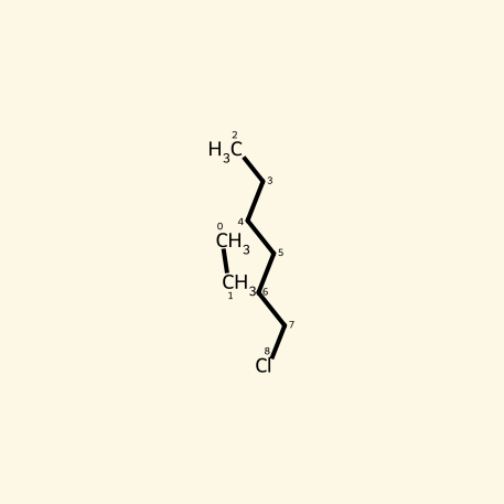 CC.CCCCCCCl